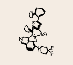 O=c1[nH]c2cc(-c3ccccc3Cl)sc2c(=O)n1-c1cncc2ccc(N3CCC(F)(F)CC3)cc12